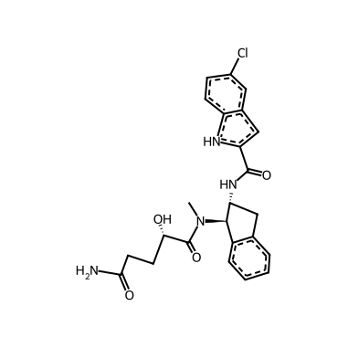 CN(C(=O)[C@@H](O)CCC(N)=O)[C@@H]1c2ccccc2C[C@H]1NC(=O)c1cc2cc(Cl)ccc2[nH]1